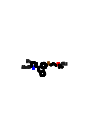 CCc1ccc(C(=CC2CCCC2)c2ccc(SCCCO[Si](C)(C)C(C)(C)C)cc2)nc1OC